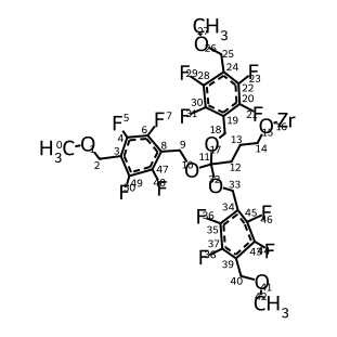 COCc1c(F)c(F)c(COC(CCC[O][Zr])(OCc2c(F)c(F)c(COC)c(F)c2F)OCc2c(F)c(F)c(COC)c(F)c2F)c(F)c1F